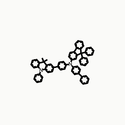 CC1(C)c2ccccc2N(c2ccccc2)c2ccc(-c3ccc(N(c4ccc(-c5ccccc5)cc4)c4ccc5c(c4)C(c4ccccc4)(c4ccccc4)c4ccccc4-5)cc3)cc21